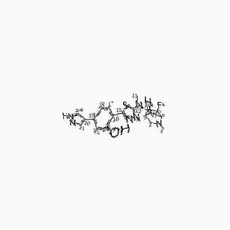 CN1CC2CCC1C(F)[C@H]2N(C)c1nnc(-c2ccc(-c3cn[nH]c3)cc2O)s1